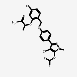 CCc1ccc(COc2ccc(-c3nn(C)c(OC(F)F)c3Cl)cc2)c(OC(C)C(N)=O)c1